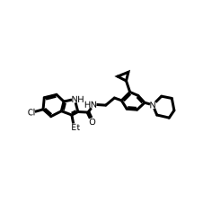 CCc1c(C(=O)NCCc2ccc(N3CCCCC3)cc2C2CC2)[nH]c2ccc(Cl)cc12